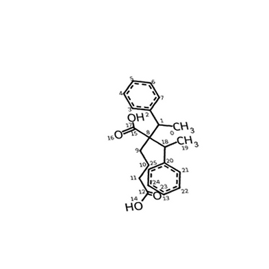 CC(c1ccccc1)C(CCCC(=O)O)(C(=O)O)C(C)c1ccccc1